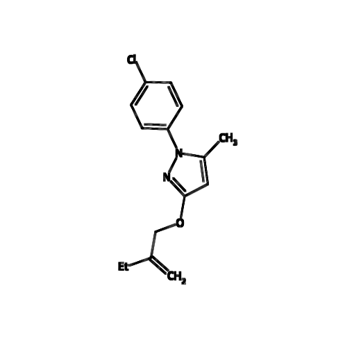 C=C(CC)COc1cc(C)n(-c2ccc(Cl)cc2)n1